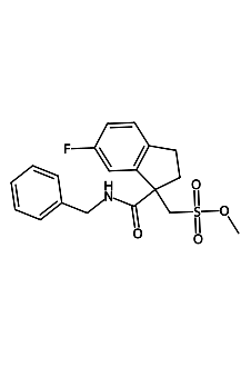 COS(=O)(=O)CC1(C(=O)NCc2ccccc2)CCc2ccc(F)cc21